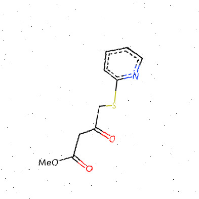 COC(=O)CC(=O)CSc1ccccn1